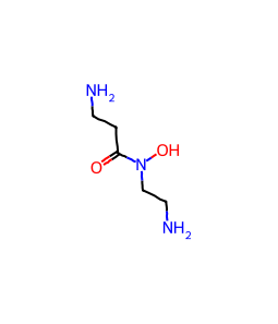 NCCC(=O)N(O)CCN